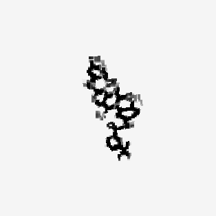 Cc1cc(Nc2ncc3c(C)n(-c4cc(NC(=O)c5cccc(C(F)(F)F)c5)ccc4C)c(=O)nc3n2)n(C)n1